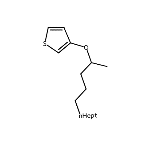 CCCCCCCCCCC(C)Oc1ccsc1